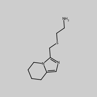 NCCSCc1ncc2n1CCCC2